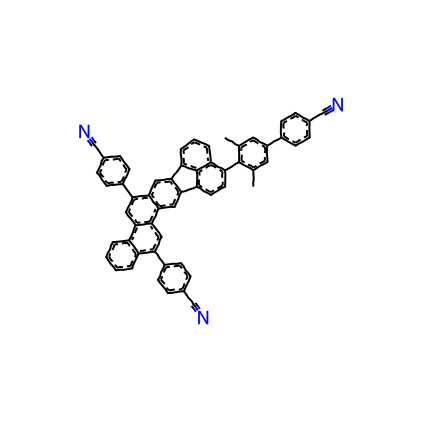 Cc1cc(-c2ccc(C#N)cc2)cc(C)c1-c1ccc2c3c(cccc13)-c1cc3c(-c4ccc(C#N)cc4)cc4c5ccccc5c(-c5ccc(C#N)cc5)cc4c3cc1-2